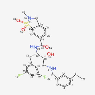 CCc1cccc(CNC[C@@H](O)[C@H](Cc2cc(F)cc(F)c2)NC(=O)c2ccc3c(c2)S(=O)(=O)N(C)C3)c1